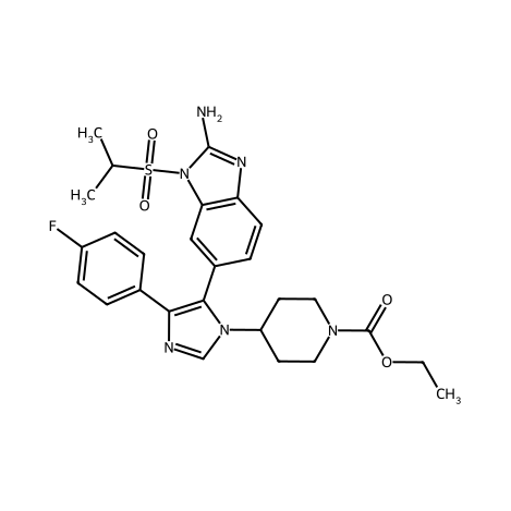 CCOC(=O)N1CCC(n2cnc(-c3ccc(F)cc3)c2-c2ccc3nc(N)n(S(=O)(=O)C(C)C)c3c2)CC1